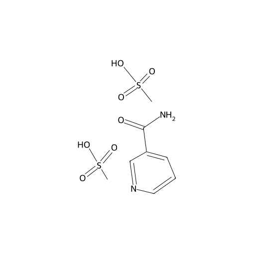 CS(=O)(=O)O.CS(=O)(=O)O.NC(=O)c1cccnc1